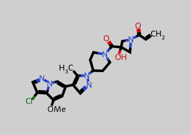 C=CC(=O)N1CC(O)(C(=O)N2CCC(n3ncc(-c4cc(OC)c5c(Cl)cnn5c4)c3C)CC2)C1